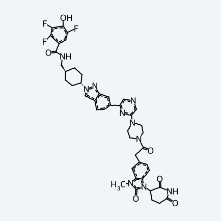 Cn1c(=O)n(C2CCC(=O)NC2=O)c2ccc(CC(=O)N3CCN(c4cncc(-c5ccc6cn([C@H]7CC[C@H](CNC(=O)c8cc(F)c(O)c(F)c8F)CC7)nc6c5)n4)CC3)cc21